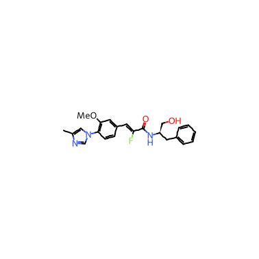 COc1cc(/C=C(\F)C(=O)N[C@@H](CO)Cc2ccccc2)ccc1-n1cnc(C)c1